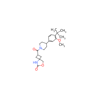 COc1cc(C2CCN(C(=O)C3CC4(COC(=O)N4)C3)CC2)ccc1C(C)(C)C